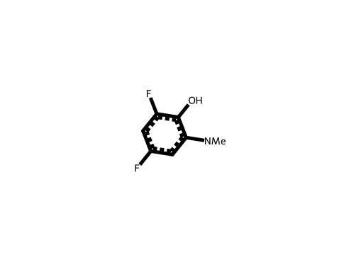 CNc1cc(F)cc(F)c1O